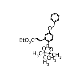 CCOC(=O)/C=C/c1cc(OCc2ccccc2)ccc1B1OC(C)(C)C(C)(C)O1